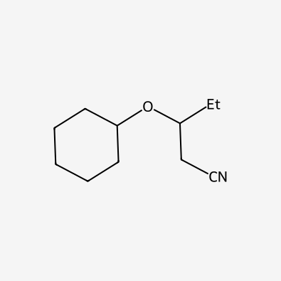 CCC(CC#N)OC1CCCCC1